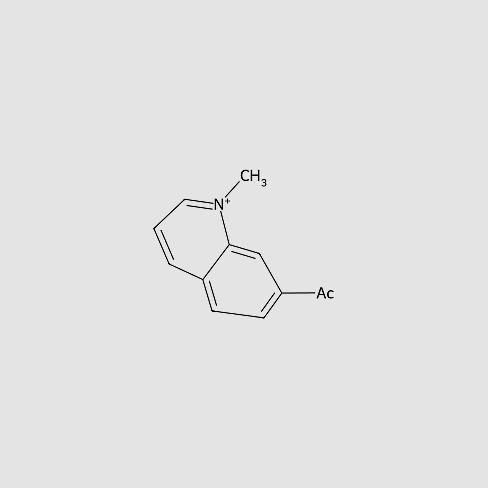 CC(=O)c1ccc2ccc[n+](C)c2c1